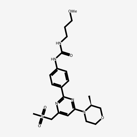 COCCCNC(=O)Nc1ccc(-c2nc(CS(C)(=O)=O)cc(N3CCOC[C@@H]3C)n2)cc1